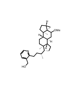 COC1C[C@H]2[C@@H]3CC[C@H]([C@H](C)CCc4ncccc4CO)[C@@]3(C)CC[C@@H]2[C@@]2(C)CC[C@@H]3C[C@@]132